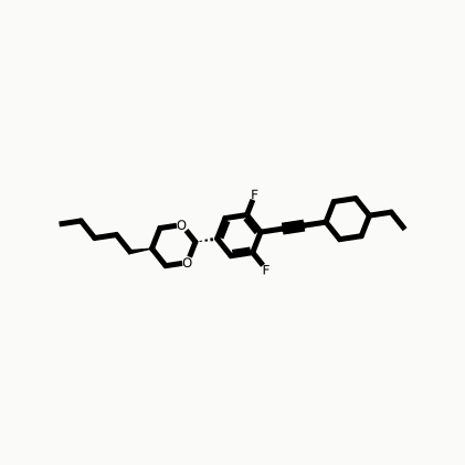 CCCCC[C@H]1CO[C@H](c2cc(F)c(C#CC3CCC(CC)CC3)c(F)c2)OC1